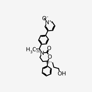 C[C@@H](c1ccc(-c2ccc[n+]([O-])c2)cc1)N1CC[C@](CCCO)(c2ccccc2)OC1=O